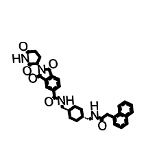 O=C(Cc1cccc2ccccc12)NC[C@H]1CC[C@H](CNC(=O)c2ccc3c(c2)C(=O)N(C2CCC(=O)NC2=O)C3=O)CC1